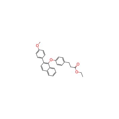 CCOC(=O)CCc1ccc(Oc2c(-c3ccc(OC)cc3)ccc3ccccc23)cc1